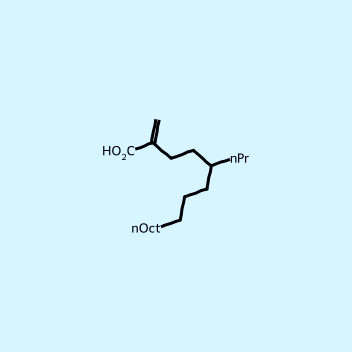 C=C(CCC(CCC)CCCCCCCCCCC)C(=O)O